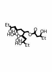 CCC(O)/C=C(/CC(COC(=O)CC(O)CC)/C(=C/C(O)CC)OO)OO